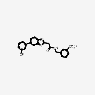 O=C(Cc1nc2ccc(-c3cccc(O)c3)cc2s1)NCc1cccc(C(=O)O)c1